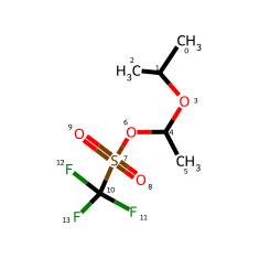 CC(C)OC(C)OS(=O)(=O)C(F)(F)F